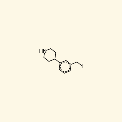 ICc1cccc(C2CCNCC2)c1